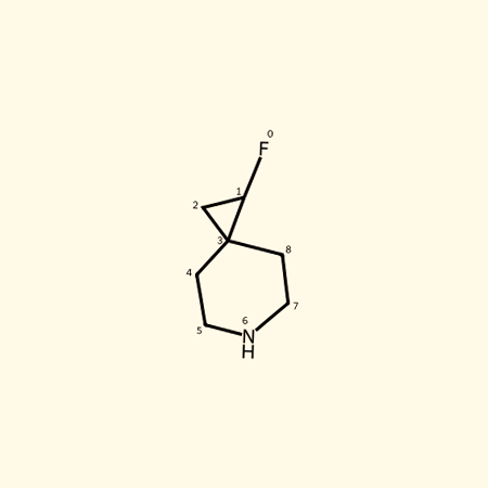 FC1CC12CCNCC2